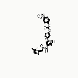 Cc1cnc(CC(=O)Nc2cc([C@H]3CC[C@@H](OC(=O)Oc4ccc([N+](=O)[O-])cc4)C3)[nH]n2)o1